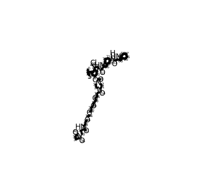 Cc1csc2c(OC(=O)N3CCN(C(=O)CCOCCOCCOCCOCCNC(=O)CCN4C(=O)C=CC4=O)CC3)cc3c(c12)[C@@H](CCl)CN3C(=O)c1cc2cc(NC(=O)c3cc4ccccc4[nH]3)ccc2[nH]1